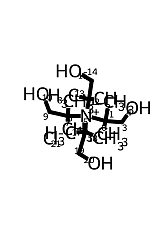 CC(C)(CO)[N+](C(C)(C)CO)(C(C)(C)CO)C(C)(C)CO.[Cl-]